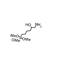 CO[Si](CCCCC(O)CN)(OC)OC